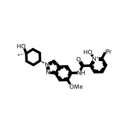 COc1cc2nn([C@H]3CC[C@](C)(O)CC3)cc2cc1NC(=O)c1cccc(C(C)C)[n+]1O